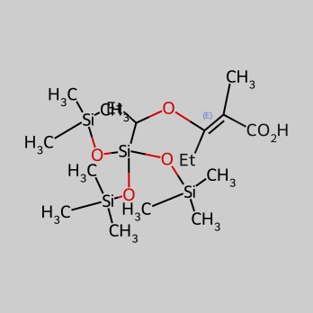 CC/C(OC(CC)[Si](O[Si](C)(C)C)(O[Si](C)(C)C)O[Si](C)(C)C)=C(/C)C(=O)O